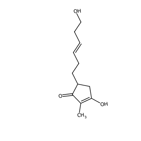 CC1=C(O)CC(CCC=CCCO)C1=O